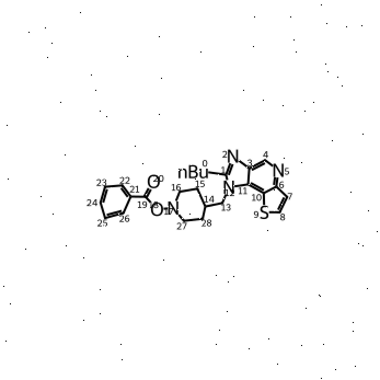 CCCCc1nc2cnc3ccsc3c2n1CC1CCN(OC(=O)c2ccccc2)CC1